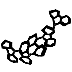 c1ccc2c3c(-n4c5ccccc5c5ccccc54)cccc3n(-c3ccccc3C3=C(n4c5ccccc5c5cc(-n6c7ccccc7c7ccccc76)ccc54)C=CCC3)c2c#1